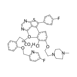 Cc1c(-c2c(-c3ccc(F)cc3)sc3ncnc(O[C@H](Cc4ccccc4OCc4ccc(F)cn4)C(=O)O)c23)ccc(OCCN2CCN(C)CC2)c1Cl